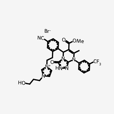 COC(=O)C1=C(C)N(c2cccc(C(F)(F)F)c2)c2n[nH]c(=O)n2C1c1ccc(C#N)cc1CC[n+]1ccn(CCCO)c1.[Br-]